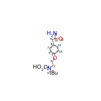 CC(C)(C)N(CCOc1ccc(CC(N)=O)cc1)C(=O)O